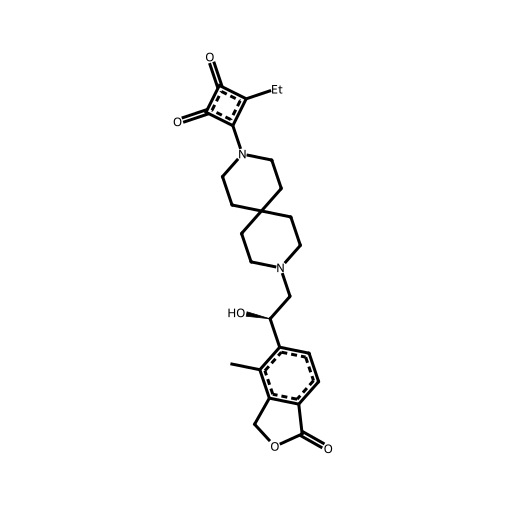 CCc1c(N2CCC3(CCN(C[C@H](O)c4ccc5c(c4C)COC5=O)CC3)CC2)c(=O)c1=O